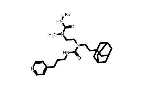 CN(CCN(CCC12CC3CC(CC(C3)C1)C2)C(=O)NCCCc1ccncc1)C(=O)NC(C)(C)C